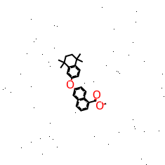 COC(=O)c1cccc2cc(Oc3ccc4c(c3)C(C)(C)CCC4(C)C)ccc12